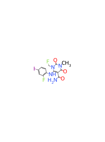 Cn1c(=O)c(C(N)=O)c(Nc2ccc(I)cc2F)n(CF)c1=O